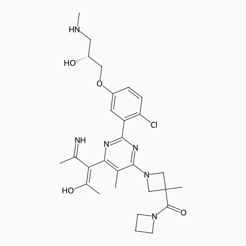 CNC[C@@H](O)COc1ccc(Cl)c(-c2nc(/C(C(C)=N)=C(\C)O)c(C)c(N3CC(C)(C(=O)N4CCC4)C3)n2)c1